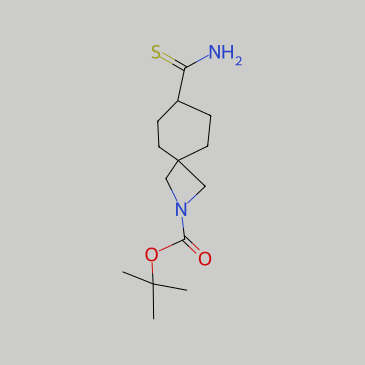 CC(C)(C)OC(=O)N1CC2(CCC(C(N)=S)CC2)C1